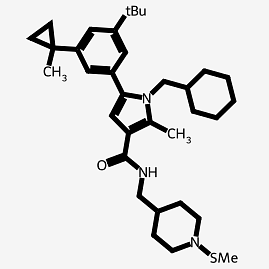 CSN1CCC(CNC(=O)c2cc(-c3cc(C(C)(C)C)cc(C4(C)CC4)c3)n(CC3CCCCC3)c2C)CC1